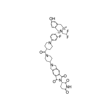 C[C@@H]1Cc2cc(O)ccc2[C@@H](c2ccc(N3CCC(C(=O)N4CCC(N5Cc6cc7c(cc6C5)C(=O)N(C5CCC(=O)NC5=O)C7=O)CC4)CC3)cc2F)N1CC(F)F